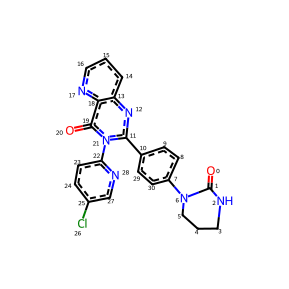 O=C1NCCCN1c1ccc(-c2nc3cccnc3c(=O)n2-c2ccc(Cl)cn2)cc1